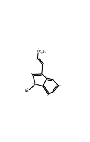 CCOC(=O)C=Cc1cn(C#N)c2ccccc12